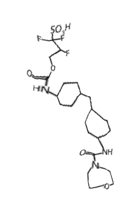 O=C(NC1CCC(CC2CCC(NC(=O)N3CCOCC3)CC2)CC1)OCC(F)C(F)(F)S(=O)(=O)O